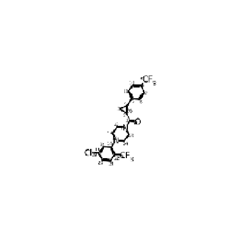 O=C([C@H]1CC1c1ccc(C(F)(F)F)cc1)N1CCN(c2cc(Cl)ccc2C(F)(F)F)CC1